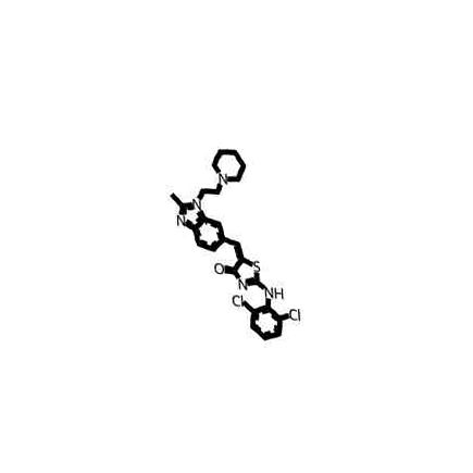 Cc1nc2ccc(C=C3SC(Nc4c(Cl)cccc4Cl)=NC3=O)cc2n1CCN1CCCCC1